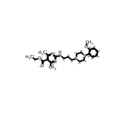 CCOC(=O)c1c(C)nc(NCCCN2CCN(c3ccccc3OC)CC2)nc1C